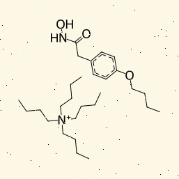 CCCCOc1ccc(CC(=O)NO)cc1.CCCC[N+](CCCC)(CCCC)CCCC